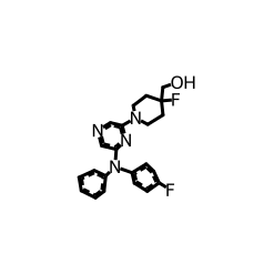 OCC1(F)CCN(c2cncc(N(c3ccccc3)c3ccc(F)cc3)n2)CC1